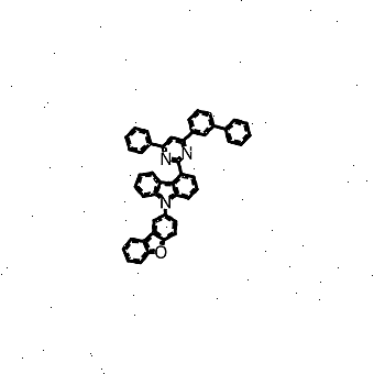 c1ccc(-c2cccc(-c3cc(-c4ccccc4)nc(-c4cccc5c4c4ccccc4n5-c4ccc5oc6ccccc6c5c4)n3)c2)cc1